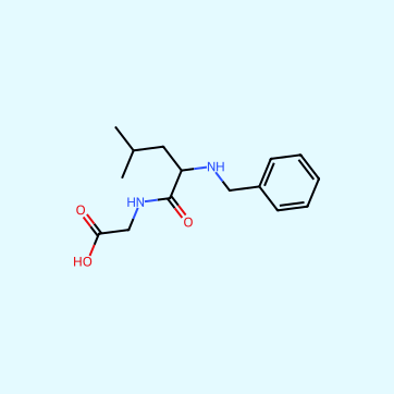 CC(C)CC(NCc1ccccc1)C(=O)NCC(=O)O